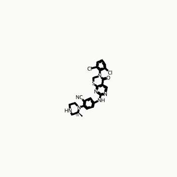 C[C@H]1CNCCN1c1ccc(Nc2ncc3c(n2)SCN(c2c(Cl)cccc2Cl)C3=O)cc1C#N